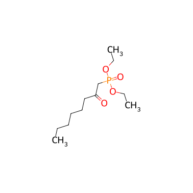 CCCCCCC(=O)CP(=O)(OCC)OCC